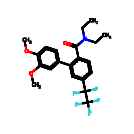 CCN(CC)C(=O)c1ccc(C(F)(F)C(F)(F)F)cc1-c1ccc(OC)c(OC)c1